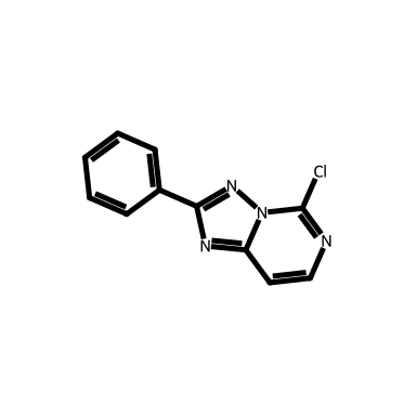 Clc1nccc2nc(-c3ccccc3)nn12